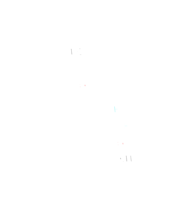 CCCCOC1CCC(C2CCC(OCC)C(F)C2F)CC1F